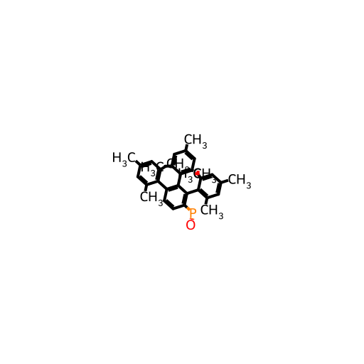 Cc1cc(C)c(-c2ccc(P=O)c(-c3c(C)cc(C)cc3C)c2-c2c(C)cc(C)cc2C)c(C)c1